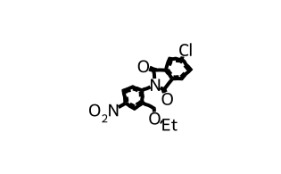 CCOCc1cc([N+](=O)[O-])ccc1N1C(=O)c2ccc(Cl)cc2C1=O